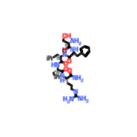 CC(C)C[C@H](NC(=O)[C@H](CC(C)C)NC(=O)[C@H](Cc1ccccc1)NC(=O)[C@@H](N)CO)C(=O)N[C@@H](CCCN=C(N)N)C(N)=O